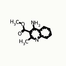 COC(=O)c1c(C)nc2ccccc2c1N